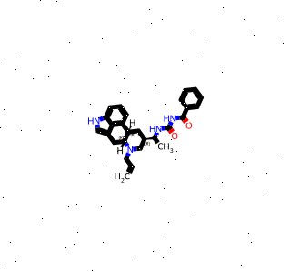 C=CCN1C[C@H](C(C)NC(=O)NC(=O)c2ccccc2)C[C@@H]2c3cccc4[nH]cc(c34)C[C@H]21